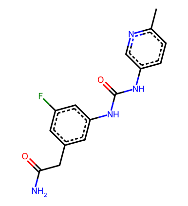 Cc1ccc(NC(=O)Nc2cc(F)cc(CC(N)=O)c2)cn1